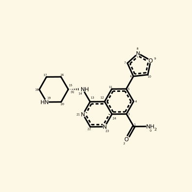 NC(=O)c1cc(-c2cnoc2)cc2c(N[C@H]3CCCNC3)ncnc12